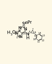 CCCSc1nc(N[C@@H]2C[C@H]2c2ccccc2)c2ncn(C)c2n1